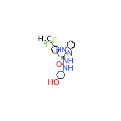 CC(F)(F)c1ccc(C[C@@H](NC(=O)NC2CCC(O)CC2)c2nc3ccccc3[nH]2)cc1